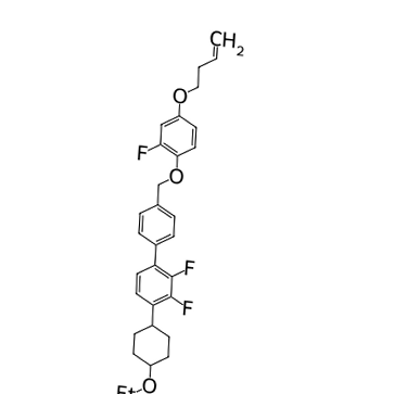 C=CCCOc1ccc(OCc2ccc(-c3ccc(C4CCC(OCC)CC4)c(F)c3F)cc2)c(F)c1